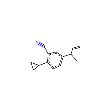 [CH2]C(C=C)c1ccc(C2CC2)c(C#N)c1